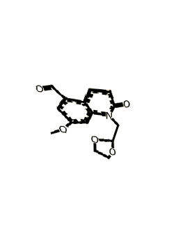 COc1cc(C=O)c2ccc(=O)n(CC3OCCO3)c2c1